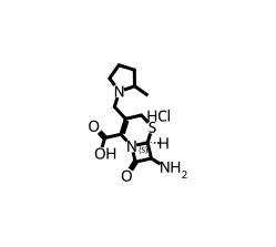 CC1CCCN1CC1=C(C(=O)O)N2C(=O)C(N)[C@@H]2SC1.Cl